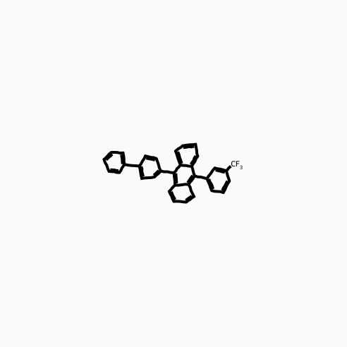 FC(F)(F)c1cccc(-c2c3ccccc3c(-c3ccc(-c4ccccc4)cc3)c3ccccc23)c1